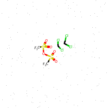 ClCCl.ClCCl.O=S(=O)(OS(=O)(=O)C(F)(F)F)C(F)(F)F